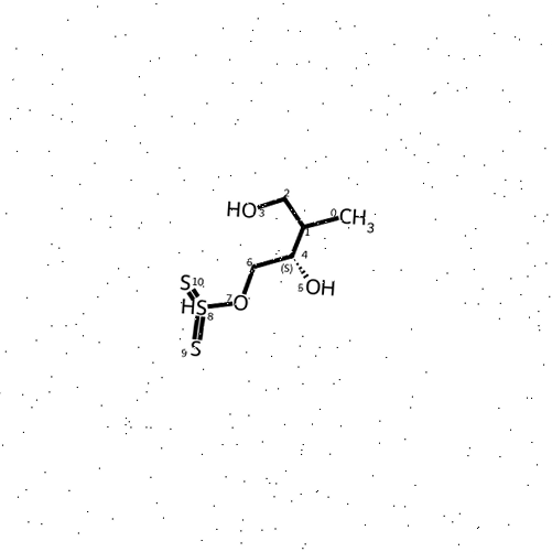 CC(CO)[C@H](O)CO[SH](=S)=S